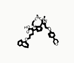 CN1CCCn2c(C(=O)O)c(CCCOc3cccc4ccccc34)c3cccc(c32)-c2c(COc3ccc(C4CCOCC4)cc3)nn(C)c2C1